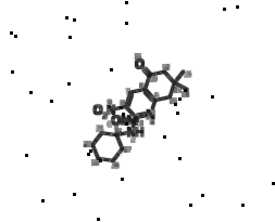 COC1(Nc2nc3c(cc2[N+](=O)[O-])C(=O)CC(C)(C)C3)CCCCC1